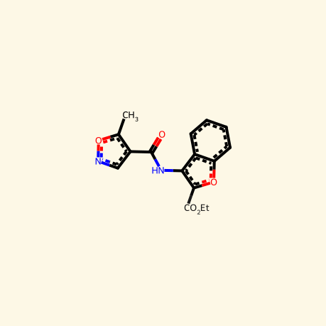 CCOC(=O)c1oc2ccccc2c1NC(=O)c1cnoc1C